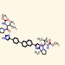 COC(=O)N[C@H](C(=O)N1CCC[C@H]1c1nc(-c2ccc(-c3ccc4cc(-c5c[nH]c([C@]6(C)CCCN6C(=O)[C@@H](NC(=O)OC)C(C)C)n5)ccc4c3)cc2)c[nH]1)C(C)C